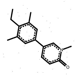 CCc1c(C)cc(-c2ccc(=O)n(C)c2)cc1C